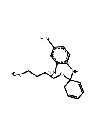 CCCCCCCCCCCCCCOC1(Nc2ccc(N)cc2N)C=CC=CC1